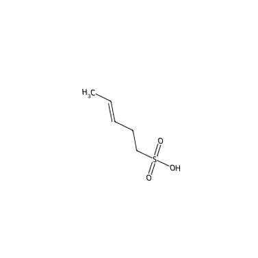 CC=CCCS(=O)(=O)O